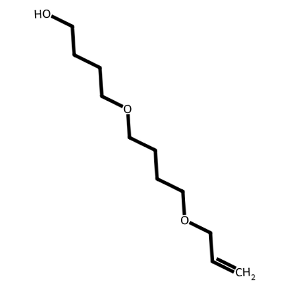 C=CCOCCCCOCCCCO